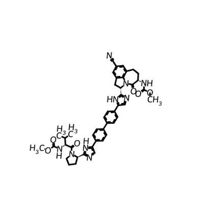 COC(=O)N[C@H]1CCc2cc(C#N)cc3c2N(C1=O)[C@H](c1ncc(-c2ccc(-c4ccc(-c5cnc([C@H]6CCCN6C(=O)[C@H](NC(=O)OC)C(C)C)[nH]5)cc4)cc2)[nH]1)C3